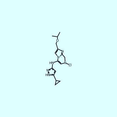 CC(C)OCC1=C[N+]2C(Nc3cc(C4CC4)[nH]n3)=CN(Cl)CC2=N1